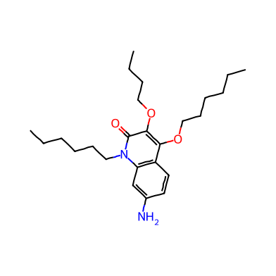 CCCCCCOc1c(OCCCC)c(=O)n(CCCCCC)c2cc(N)ccc12